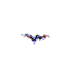 CN(C)CCOc1cncc(-c2ccc3[nH]nc(-c4nc5c(-c6cc(F)cc(CNS(C)(=O)=O)c6)nccc5[nH]4)c3c2)c1